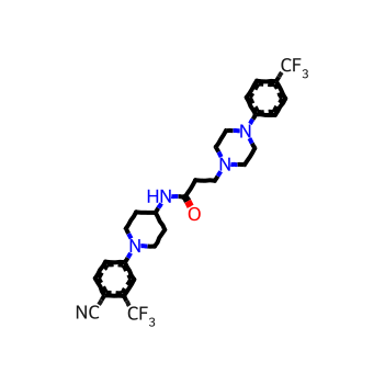 N#Cc1ccc(N2CCC(NC(=O)CCN3CCN(c4ccc(C(F)(F)F)cc4)CC3)CC2)cc1C(F)(F)F